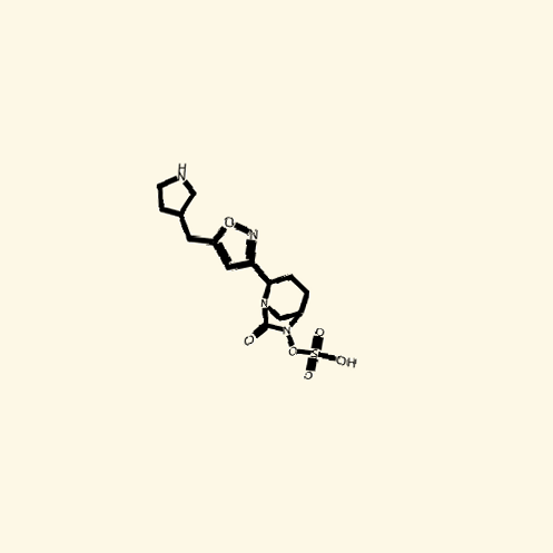 O=C1N2CC(CCC2c2cc(CC3CCNC3)on2)N1OS(=O)(=O)O